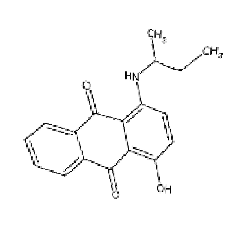 CCC(C)Nc1ccc(O)c2c1C(=O)c1ccccc1C2=O